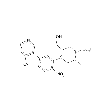 CC1CN(c2cc(-c3cnccc3C#N)ccc2[N+](=O)[O-])C(CO)CN1C(=O)O